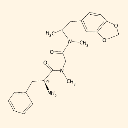 CC(Cc1ccc2c(c1)OCO2)N(C)C(=O)CN(C)C(=O)[C@@H](N)Cc1ccccc1